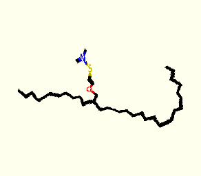 CCCCC/C=C\C/C=C\CCCCCCCCC(CCCCCCCCCC)CO/C=C/SN(C)C